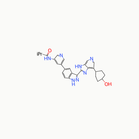 CC(C)C(=O)Nc1cncc(-c2ccc3[nH]nc(-c4nc5c(C6CCC(O)CC6)cncc5[nH]4)c3c2)c1